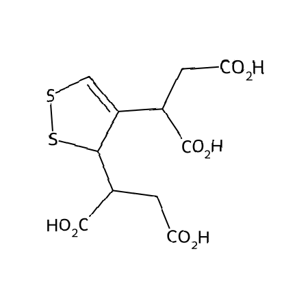 O=C(O)CC(C(=O)O)C1=CSSC1C(CC(=O)O)C(=O)O